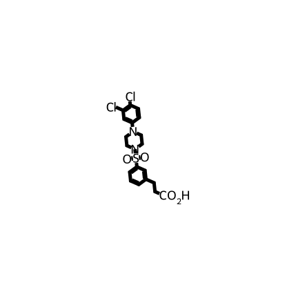 O=C(O)CCc1cccc(S(=O)(=O)N2CCN(c3ccc(Cl)c(Cl)c3)CC2)c1